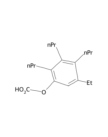 CCCc1c(CC)cc(OC(=O)O)c(CCC)c1CCC